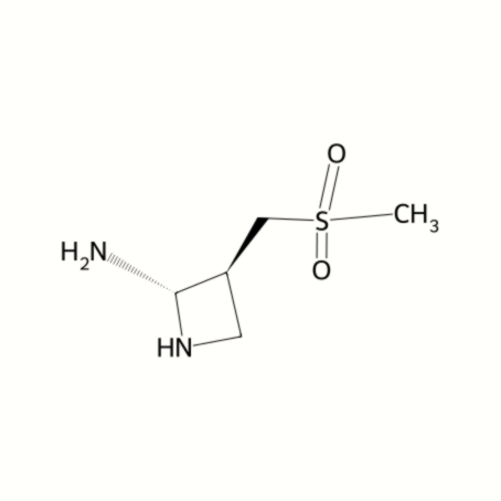 CS(=O)(=O)C[C@H]1CN[C@@H]1N